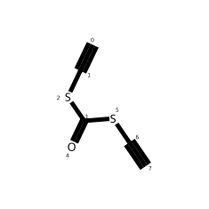 C#CSC(=O)SC#C